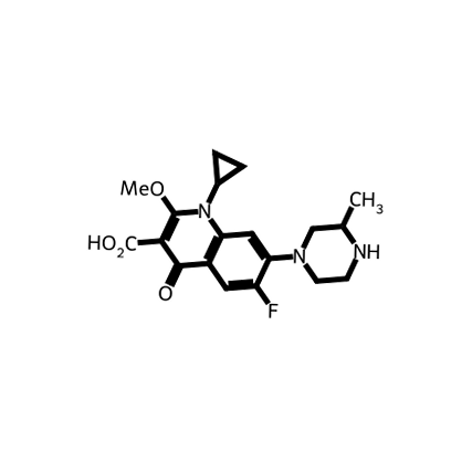 COc1c(C(=O)O)c(=O)c2cc(F)c(N3CCNC(C)C3)cc2n1C1CC1